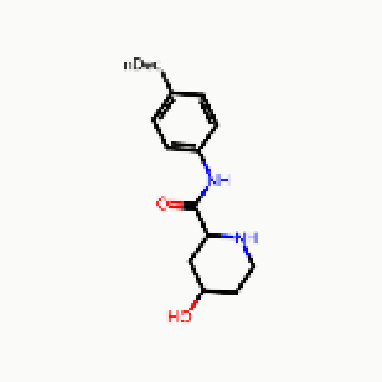 CCCCCCCCCCc1ccc(NC(=O)C2CC(O)CCN2)cc1